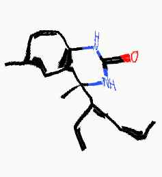 C=C/C(=C\C=C/C)[C@@]1(C)NC(=O)Nc2ccc(C)cc21